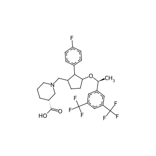 C[C@H](OC1CCC(CN2CCC[C@@H](C(=O)O)C2)C1c1ccc(F)cc1)c1cc(C(F)(F)F)cc(C(F)(F)F)c1